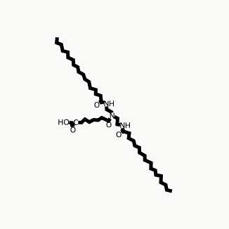 CCCCCCCCCCCCCCCCCC(=O)NCCN(CCNC(=O)CCCCCCCCCCCCCCCCC)C(=O)CCCCCCCC(=O)O